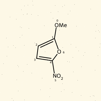 COc1ccc([N+](=O)[O-])o1